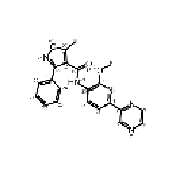 COc1nc(-c2cnccn2)ccc1NC(=O)c1c(-c2ccccc2)noc1C